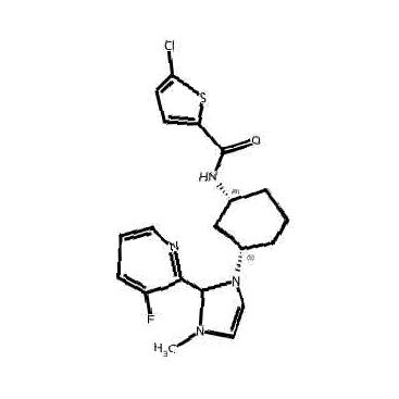 CN1C=CN([C@H]2CCC[C@@H](NC(=O)c3ccc(Cl)s3)C2)C1c1ncccc1F